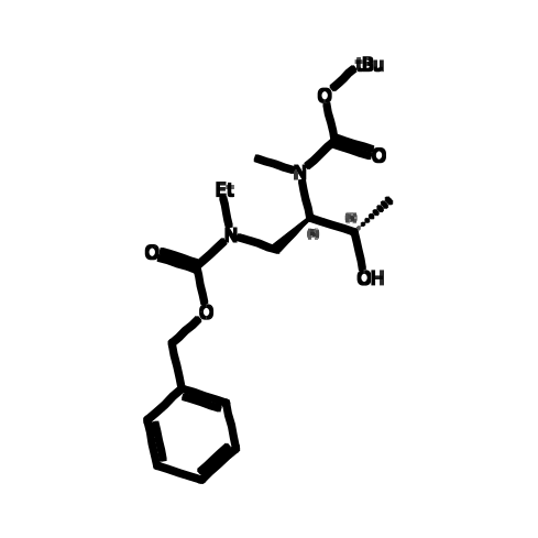 CCN(C[C@H]([C@H](C)O)N(C)C(=O)OC(C)(C)C)C(=O)OCc1ccccc1